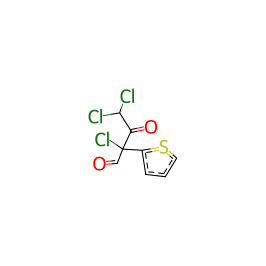 O=CC(Cl)(C(=O)C(Cl)Cl)c1cccs1